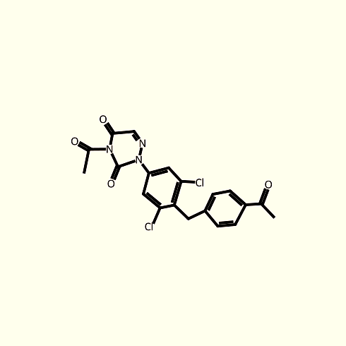 CC(=O)c1ccc(Cc2c(Cl)cc(-n3ncc(=O)n(C(C)=O)c3=O)cc2Cl)cc1